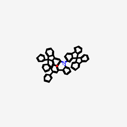 c1ccc(-c2cccc(-c3ccccc3N(c3ccc4c(c3)-c3ccccc3C4(c3ccccc3)c3ccccc3)c3ccc4c(c3)C3(c5ccccc5-c5ccccc53)c3ccccc3-4)c2)cc1